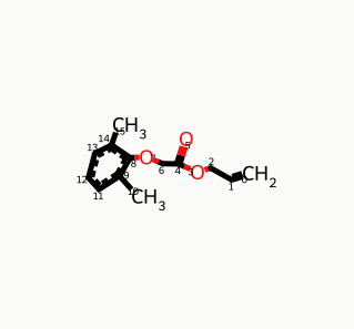 C=CCOC(=O)COc1c(C)cccc1C